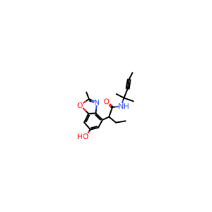 CC#CC(C)(C)NC(=O)C(CC)c1cc(O)cc2oc(C)nc12